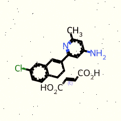 Cc1cc(N)cc(C2=Cc3cc(Cl)ccc3CC2)n1.O=C(O)/C=C/C(=O)O